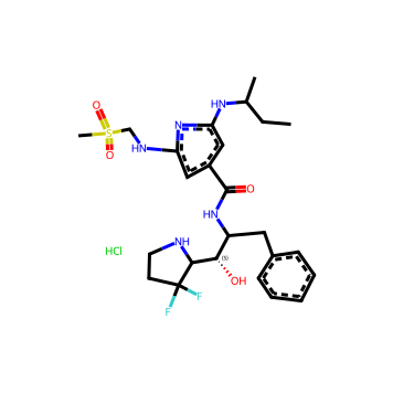 CCC(C)Nc1cc(C(=O)NC(Cc2ccccc2)[C@H](O)C2NCCC2(F)F)cc(NCS(C)(=O)=O)n1.Cl